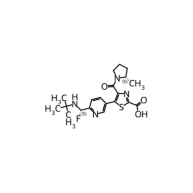 C[C@H]1CCCN1C(=O)c1nc(C(=O)O)sc1-c1ccc([C@H](F)NC(C)(C)C)nc1